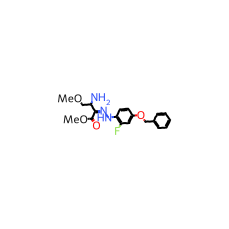 COCC(N)C(=NNc1ccc(OCc2ccccc2)cc1F)C(=O)OC